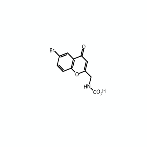 O=C(O)NCc1cc(=O)c2cc(Br)ccc2o1